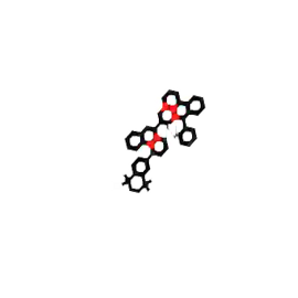 CC1(C)CCC(C)(C)c2cc(-c3ccc(N(c4ccccc4-c4ccc5ccccc5c4)c4ccccc4-c4cc5ccccc5c5ccccc45)cc3)ccc21